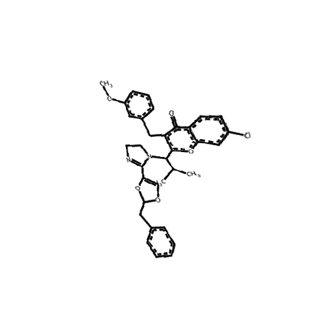 COc1cccc(Cc2c(C(C(C)C)N3CCN=C3C3=COC(Cc4ccccc4)O3)oc3cc(Cl)ccc3c2=O)c1